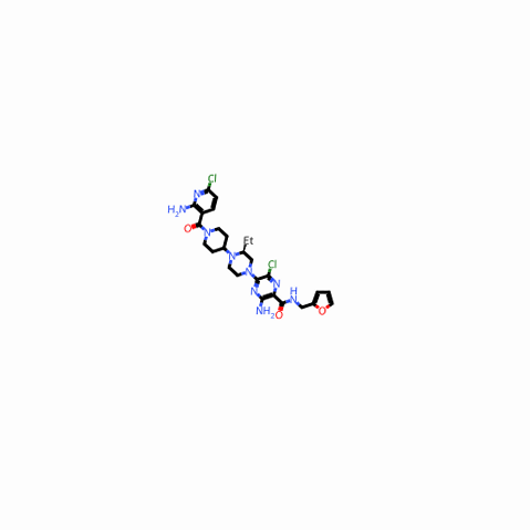 CC[C@H]1CN(c2nc(N)c(C(=O)NCc3ccco3)nc2Cl)CCN1C1CCN(C(=O)c2ccc(Cl)nc2N)CC1